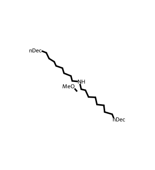 CCCCCCCCCCCCCCCCCCNCCCCCCCCCCCCCCCCCC.COC